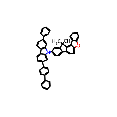 CC1(C)c2cc(-n3c4cc(-c5ccccc5)ccc4c4ccc(-c5ccc(-c6ccccc6)cc5)cc43)ccc2-c2ccc3oc4ccccc4c3c21